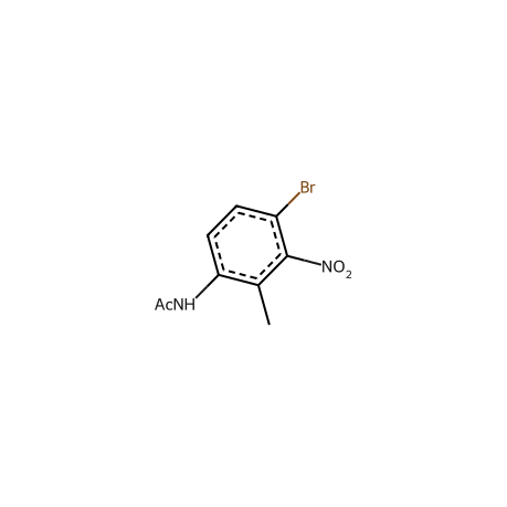 CC(=O)Nc1ccc(Br)c([N+](=O)[O-])c1C